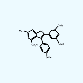 COc1ccc(-c2c(-c3cc(OC)cc(OC)c3)oc3cc(OC)cc(C(=O)O)c23)cc1